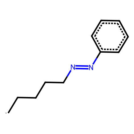 [CH2]CCCCN=Nc1ccccc1